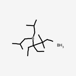 B.CCC(C)(C)C(CC)(CC)B(CC(C)C)CC(C)C